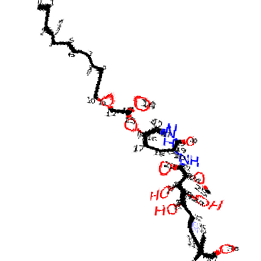 CCCCCCCCCCCOCC(=O)O[C@@H]1CC[C@H](NC(=O)[C@H](OC)[C@H](O)[C@@H](O)[C@H](O)/C=C/C(C)(C)C=O)C(=O)NC1